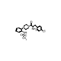 CS(=O)(=O)Nc1ccccc1N1CCN(C(=O)[C@H](N)Cc2ccc(Cl)cc2)CC1